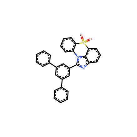 O=S1(=O)c2ccccc2-n2c(-c3cc(-c4ccccc4)cc(-c4ccccc4)c3)nc3cccc1c32